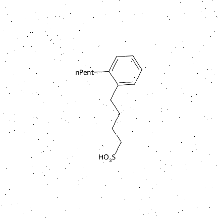 CCCCCc1ccccc1CCCCS(=O)(=O)O